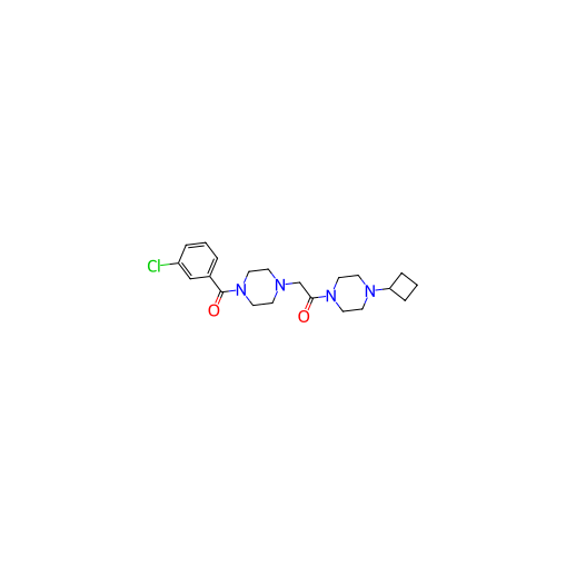 O=C(CN1CCN(C(=O)c2cccc(Cl)c2)CC1)N1CCN(C2CCC2)CC1